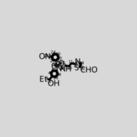 CCC(O)c1ccc(N(NCCCc2ncc(C=O)s2)S(=O)(=O)c2cccc(N=O)c2)cc1